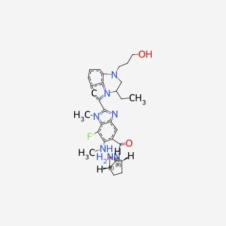 CCC1CN(CCCO)c2cccc3cc(-c4nc5cc(C(=O)N6C[C@H]7CC[C@@H]6[C@@H]7N)c(NC)c(F)c5n4C)n1c23